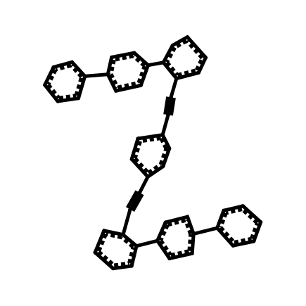 C(#Cc1ccccc1-c1ccc(-c2ccccc2)cc1)c1ccc(C#Cc2ccccc2-c2ccc(-c3ccccc3)cc2)cc1